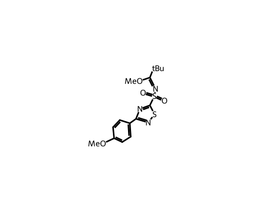 CO/C(=N\S(=O)(=O)c1nc(-c2ccc(OC)cc2)ns1)C(C)(C)C